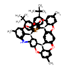 Cc1cc2c3c(c1)Oc1c(sc4ccc(C(C)(C)C)cc14)B3c1cc3c(cc1N2)Oc1cc(C)cc2c1B3c1cc3c(cc1O2)Oc1cc(C)cc2c1B3c1sc3ccc(C(C)(C)C)cc3c1O2